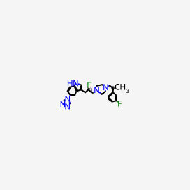 C[C@@H](CN1CCN(C[C@H](F)Cc2c[nH]c3ccc(-n4cnnc4)cc23)CC1)c1cccc(F)c1